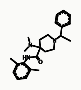 Cc1cccc(C)c1NC(=O)C1(N(C)C)CCN(C(C)c2ccccc2)CC1